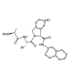 CN[C@@H](C)C(=O)N[C@H](C(=O)N1Cc2ccccc2[C@H]1C(=O)Nc1ccc2ccccc2c1)C(C)C.Cl